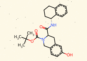 CC(C)(C)OC(=O)N1Cc2ccc(O)cc2CC1C(=O)N[C@@H]1CCCc2ccccc21